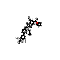 COc1cc(C(=O)N2CC3CCC2[C@@H]3C)cc2nc(-c3cc4ccc(-c5ccc6[nH]c(=O)[nH]c6c5)nc4n3CC3CC3)n(C)c12